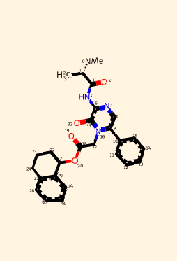 CN[C@@H](C)C(=O)Nc1ncc(-c2ccccc2)n(CC(=O)OC2CCCc3ccccc32)c1=O